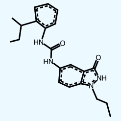 CCCn1[nH]c(=O)c2cc(NC(=O)Nc3ccccc3C(C)CC)ccc21